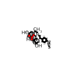 C[C@H](CN(CC(=O)O)CC(c1ccc(N=C=S)cc1)N(CC(=O)O)CC(=O)O)N(CC(=O)O)CC(=O)O